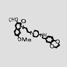 COc1ccc2cc(C=O)c(=O)n(CCN3CCC(NCc4ccc5c(c4)OCCO5)CC3)c2c1